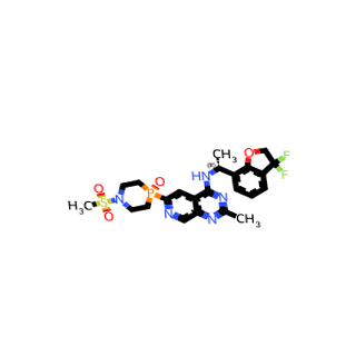 Cc1nc(N[C@H](C)c2cccc3c2OCC3(F)F)c2cc(P3(=O)CCN(S(C)(=O)=O)CC3)ncc2n1